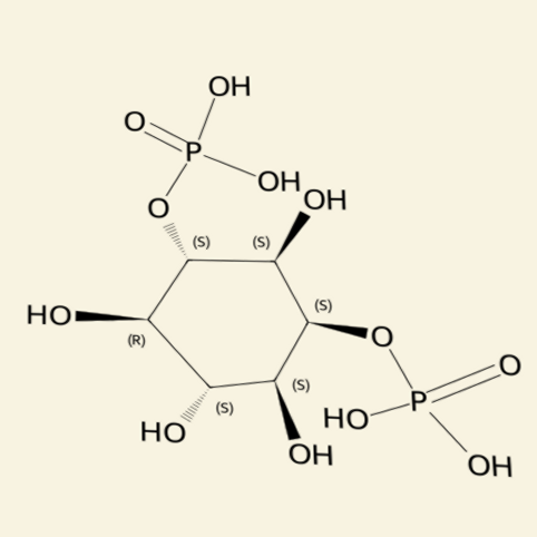 O=P(O)(O)O[C@@H]1[C@@H](O)[C@@H](OP(=O)(O)O)[C@@H](O)[C@H](O)[C@H]1O